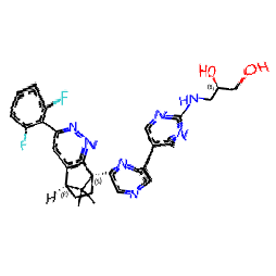 CC1(C)[C@H]2CC[C@]1(c1cncc(-c3cnc(NC[C@@H](O)CO)nc3)n1)c1nnc(-c3c(F)cccc3F)cc12